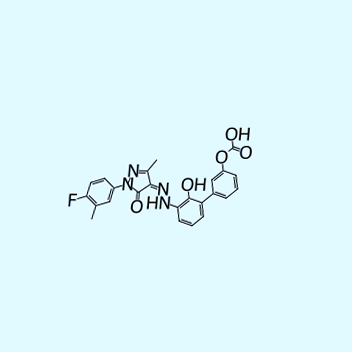 CC1=NN(c2ccc(F)c(C)c2)C(=O)C1=NNc1cccc(-c2cccc(OC(=O)O)c2)c1O